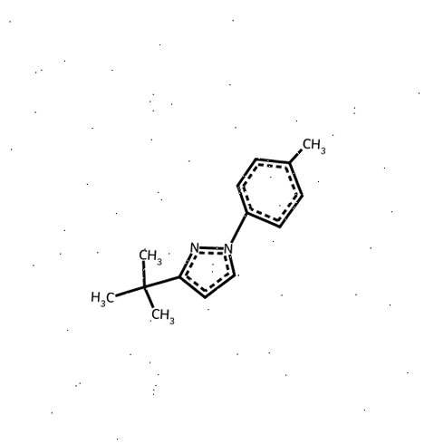 Cc1ccc(-n2[c]cc(C(C)(C)C)n2)cc1